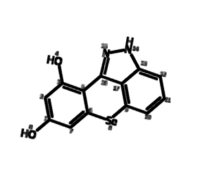 Oc1cc(O)c2c(c1)[Se]c1cccc3[nH]nc-2c13